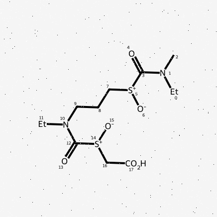 CCN(C)C(=O)[S+]([O-])CCCN(CC)C(=O)[S+]([O-])CC(=O)O